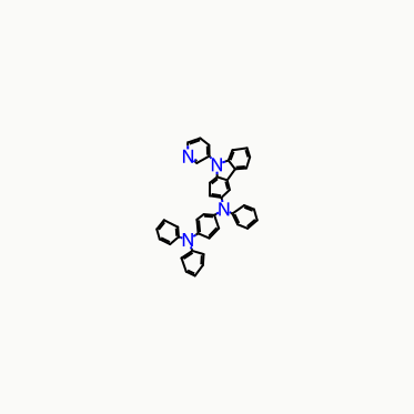 c1ccc(N(c2ccccc2)c2ccc(N(c3ccccc3)c3ccc4c(c3)c3ccccc3n4-c3cccnc3)cc2)cc1